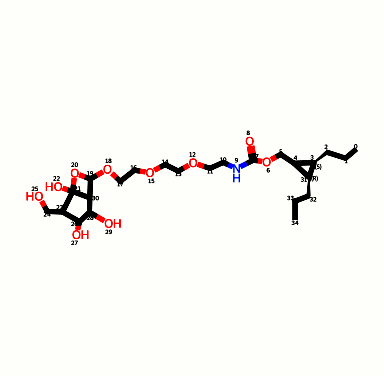 CCC[C@@H]1C(COC(=O)NCCOCCOCCOC2OC3(O)C(CO)C(O)C(O)C23)[C@@H]1CCC